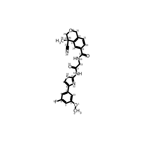 COc1cc(F)cc(-c2csc(NC(=O)CNC(=O)c3ccc4c(c3)[C@](C)(C#N)COC4)n2)c1